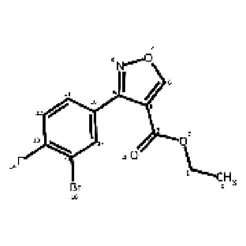 CCOC(=O)c1conc1-c1ccc(F)c(Br)c1